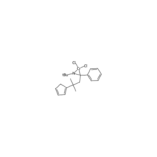 CC(C)(C[C]1(c2ccccc2)[N](C(C)(C)C)[Cr]1([Cl])[Cl])C1=CC=CC1